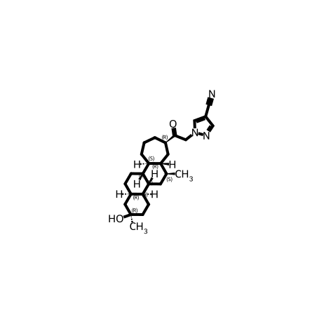 C[C@H]1C[C@H]2[C@H](CC[C@@H]3C[C@](C)(O)CC[C@@H]32)[C@H]2CCC[C@@H](C(=O)Cn3cc(C#N)cn3)C[C@@H]21